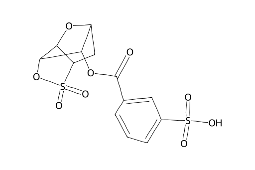 O=C(OC1C2CC3C(O2)C1OS3(=O)=O)c1cccc(S(=O)(=O)O)c1